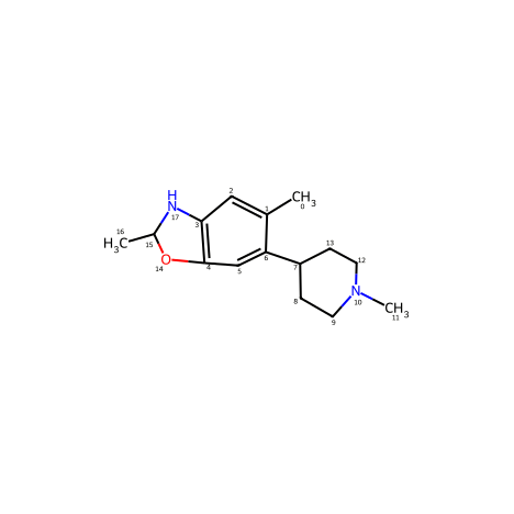 Cc1cc2c(cc1C1CCN(C)CC1)OC(C)N2